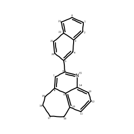 c1ccc2cc(-c3cc4c5c(cccc5n3)CCCC4)ccc2c1